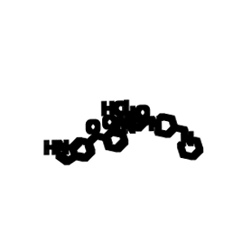 COc1c(NCC(=O)N2CCC(CN3CCCCC3)CC2)cccc1C(=O)c1ccc2cc[nH]c2c1.Cl